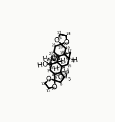 CCCC[C@]1(O)C[C@@]2(C)[C@@H](CCC23OCCO3)[C@@H]2C[C@@H]3C[C@@]34CC3(CC[C@]4(C)[C@H]21)OCCO3